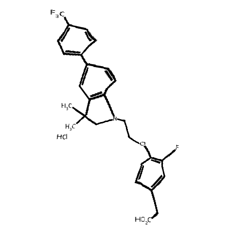 CC1(C)CN(CCOc2ccc(CC(=O)O)cc2F)c2ccc(-c3ccc(C(F)(F)F)cc3)cc21.Cl